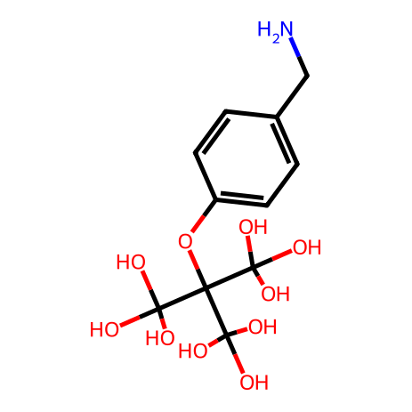 NCc1ccc(OC(C(O)(O)O)(C(O)(O)O)C(O)(O)O)cc1